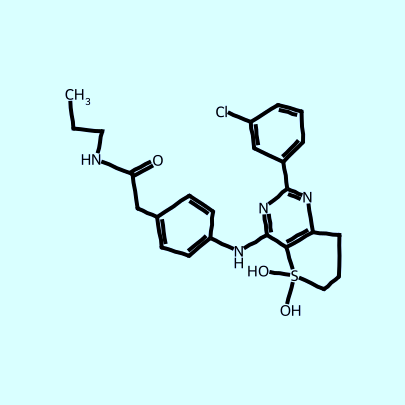 CCCNC(=O)Cc1ccc(Nc2nc(-c3cccc(Cl)c3)nc3c2S(O)(O)CCC3)cc1